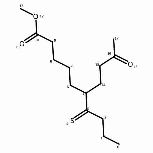 CCCC(=S)C(CCCCC(=O)OC)CCC(C)=O